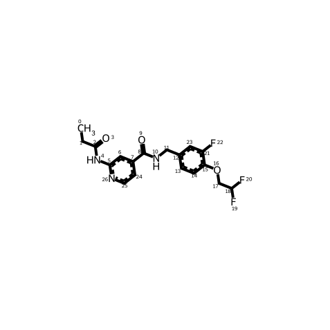 CCC(=O)Nc1cc(C(=O)NCc2ccc(OCC(F)F)c(F)c2)ccn1